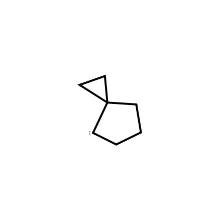 [C]1CCCC12CC2